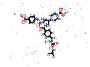 COC(=O)c1ccc(NC(=O)[C@@H]2C[C@H](N3CCN(C(=O)OC)CC3)CN2C(=O)C2CCC(CNC(=O)OCC(C)C)CC2)cc1